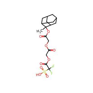 CC1(OC(=O)COC(=O)COC(=O)C(F)(F)S(=O)(=O)O)C2CC3CC(C2)CC1C3